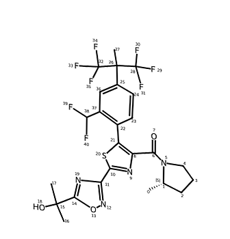 C[C@H]1CCCN1C(=O)c1nc(-c2noc(C(C)(C)O)n2)sc1-c1ccc(C(C)(C(F)(F)F)C(F)(F)F)cc1C(F)F